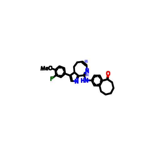 COc1ccc(C2=CN=C3/C(Nc4ccc5c(c4)CCCCCC5=O)=N\C=C/CCC23)cc1F